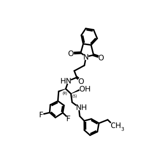 CCc1cccc(CNC[C@H](O)[C@@H](Cc2cc(F)cc(F)c2)NC(=O)CCN2C(=O)c3ccccc3C2=O)c1